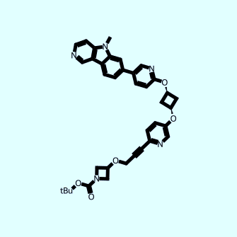 Cn1c2ccncc2c2ccc(-c3ccc(O[C@H]4C[C@@H](Oc5ccc(C#CCOC6CN(C(=O)OC(C)(C)C)C6)nc5)C4)nc3)cc21